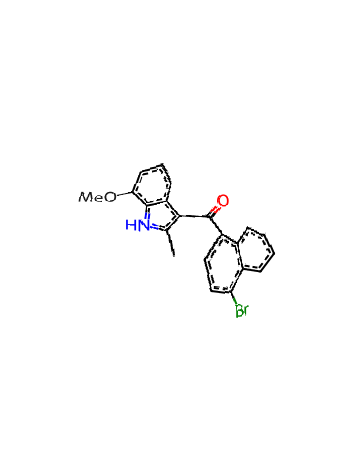 COc1cccc2c(C(=O)c3ccc(Br)c4ccccc34)c(C)[nH]c12